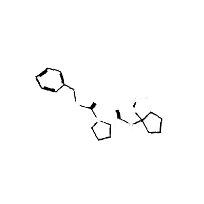 O=C(O)OC1(NC(=O)[C@@H]2CCCN2C(=O)OCc2ccccc2)CCCC1